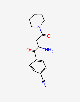 N#Cc1ccc(C(=O)C(N)CC(=O)N2CC[CH]CC2)cc1